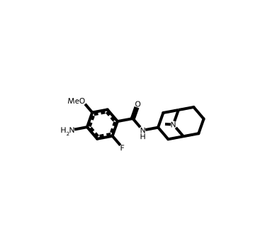 COc1cc(C(=O)NC2CC3CCCC(C2)N3C)c(F)cc1N